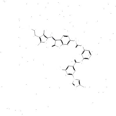 Cc1cn(-c2cc(C(=O)Nc3cccc(NC(=O)Nc4ccc5c(c4)NC(=O)/C5=C\c4[nH]c(C)c(CCC(=O)O)c4C)c3)cc(C(F)(F)F)c2)cn1